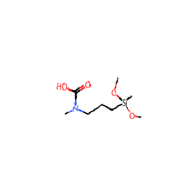 CO[Si](C)(CCCN(C)C(=O)O)OC